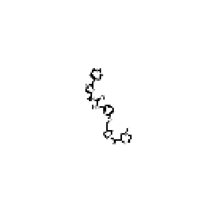 CN1CCCC(C(=O)N2CCC(COc3cccc(NC(=O)Nc4csc(-c5ccncc5)n4)n3)C2)C1